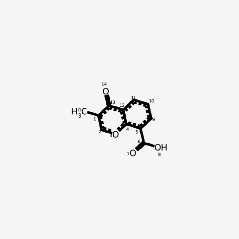 Cc1coc2c(C(=O)O)cccc2c1=O